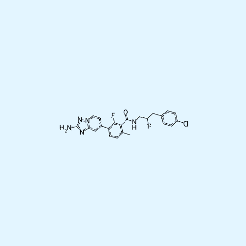 Cc1ccc(-c2ccn3nc(N)nc3c2)c(F)c1C(=O)NCC(F)Cc1ccc(Cl)cc1